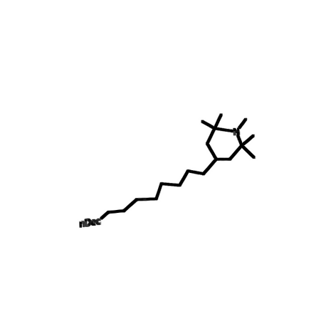 CCCCCCCCCCCCCCCCCCC1CC(C)(C)N(C)C(C)(C)C1